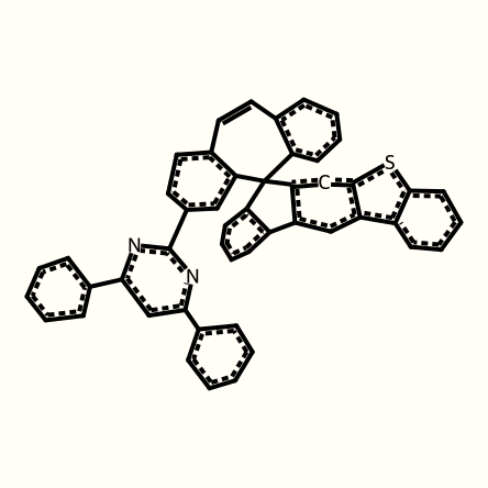 C1=Cc2ccc(-c3nc(-c4ccccc4)cc(-c4ccccc4)n3)cc2C2(c3ccccc31)c1ccccc1-c1cc3c(cc12)sc1ccccc13